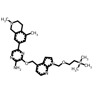 Cc1cc(-c2cnc(N)c(OCc3ccnc4c3ccn4COCC[Si](C)(C)C)n2)cc2c1CCN(C)C2